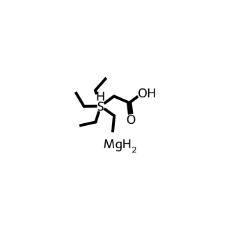 CC[SH](CC)(CC)(CC)CC(=O)O.[MgH2]